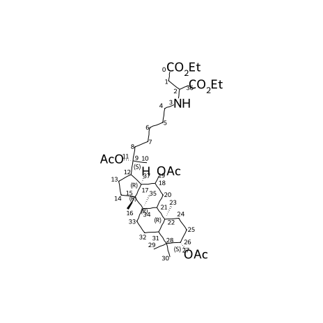 CCOC(=O)CC(NCCCCC[C@](C)(OC(C)=O)C1CC[C@]2(C)[C@@H]1C(OC(C)=O)CC1[C@@]3(C)CC[C@H](OC(C)=O)C(C)(C)C3CC[C@]12C)C(=O)OCC